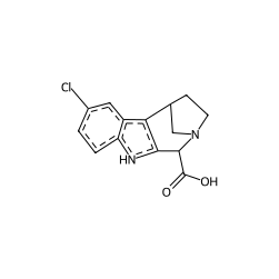 O=C(O)C1c2[nH]c3ccc(Cl)cc3c2C2CCN1C2